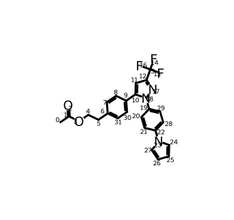 CC(=O)OCCc1ccc(-c2cc(C(F)(F)F)nn2-c2ccc(-n3cccc3)cc2)cc1